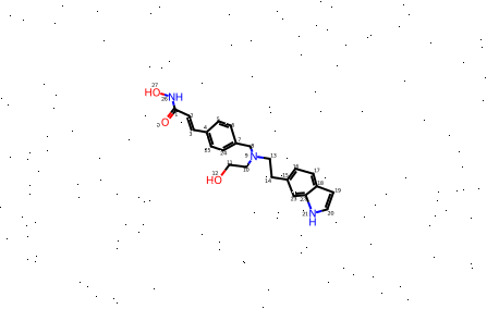 O=C(/C=C/c1ccc(CN(CCO)CCc2ccc3cc[nH]c3c2)cc1)NO